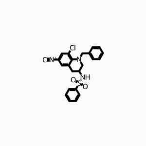 [C-]#[N+]c1cc(Cl)c2c(c1)CC(NS(=O)(=O)c1ccccc1)CN2Cc1ccccc1